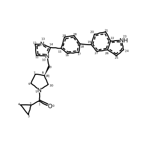 O=C(C1CC1)N1CC[C@@H](Cn2ccnc2-c2ccc(-c3ccc4[nH]ccc4c3)cc2)C1